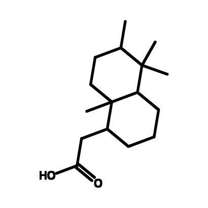 CC1CCC2(C)C(CC(=O)O)CCCC2C1(C)C